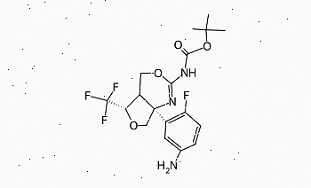 CC(C)(C)OC(=O)NC1=N[C@@]2(c3cc(N)ccc3F)CO[C@H](C(F)(F)F)C2CO1